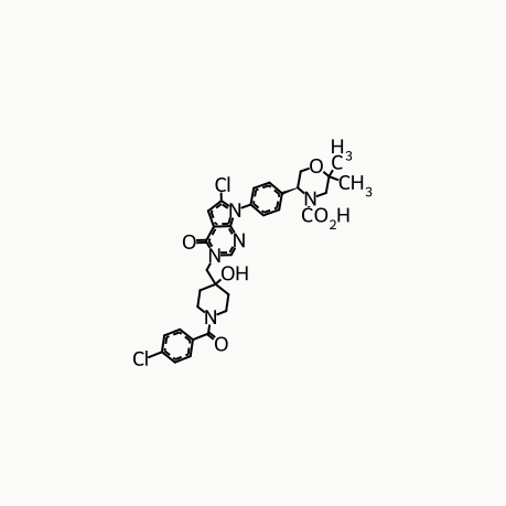 CC1(C)CN(C(=O)O)[C@@H](c2ccc(-n3c(Cl)cc4c(=O)n(CC5(O)CCN(C(=O)c6ccc(Cl)cc6)CC5)cnc43)cc2)CO1